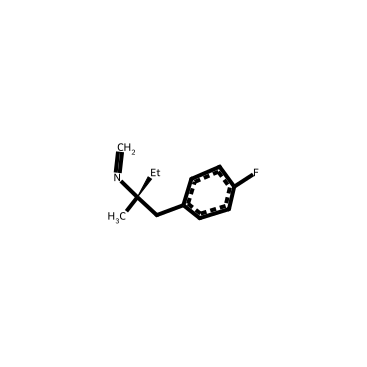 C=N[C@](C)(CC)Cc1ccc(F)cc1